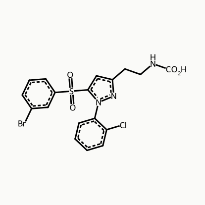 O=C(O)NCCc1cc(S(=O)(=O)c2cccc(Br)c2)n(-c2ccccc2Cl)n1